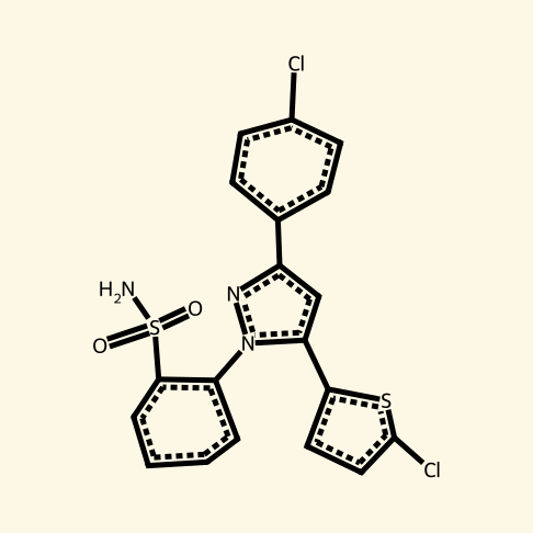 NS(=O)(=O)c1ccccc1-n1nc(-c2ccc(Cl)cc2)cc1-c1ccc(Cl)s1